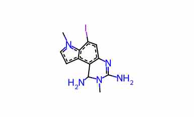 CN1C(N)=Nc2cc(I)c3c(ccn3C)c2C1N